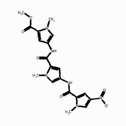 COC(=O)c1cc(NC(=O)c2cc(NC(=O)c3cc([N+](=O)[O-])cn3C)cn2C)cn1C